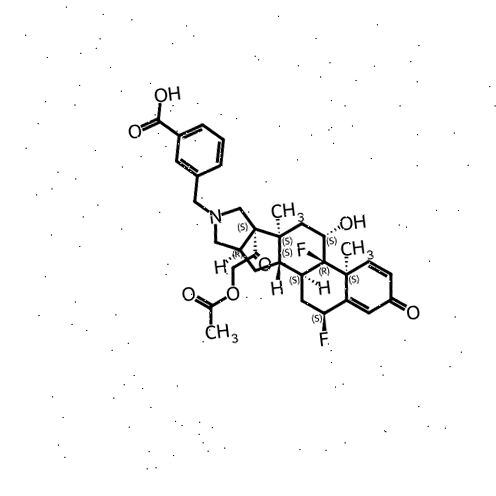 CC(=O)OCC(=O)[C@@]12CN(Cc3cccc(C(=O)O)c3)C[C@@H]1C[C@H]1[C@@H]3C[C@H](F)C4=CC(=O)C=C[C@]4(C)[C@@]3(F)[C@@H](O)C[C@@]12C